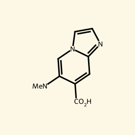 CNc1cn2ccnc2cc1C(=O)O